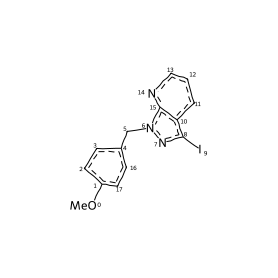 COc1ccc(Cn2nc(I)c3cccnc32)cc1